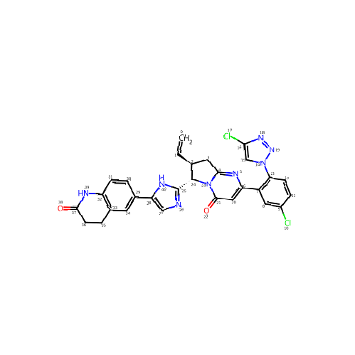 C=C[C@H]1Cc2nc(-c3cc(Cl)ccc3-n3cc(Cl)nn3)cc(=O)n2[C@@H]1c1ncc(-c2ccc3c(c2)CCC(=O)N3)[nH]1